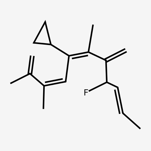 C=C(C)/C(C)=C\C(=C(\C)C(=C)C(F)/C=C/C)C1CC1